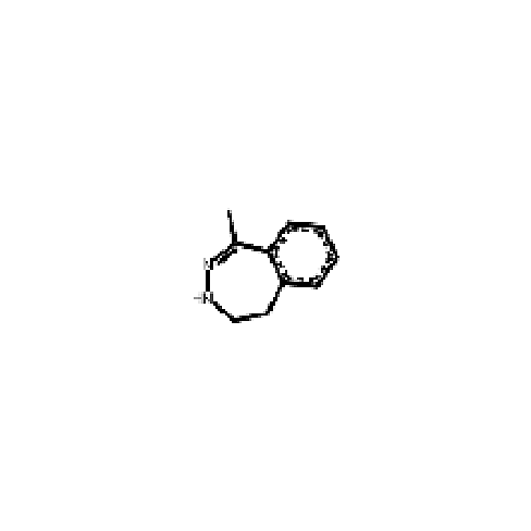 CC1=NNCCc2ccccc21